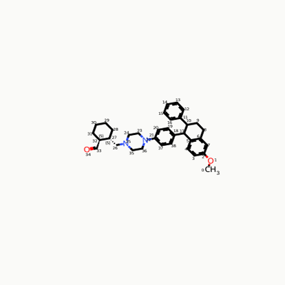 COc1ccc2c(c1)CCC(c1ccccc1)C2c1ccc(N2CCN(C[C@H]3CCCC[C@@H]3C=O)CC2)cc1